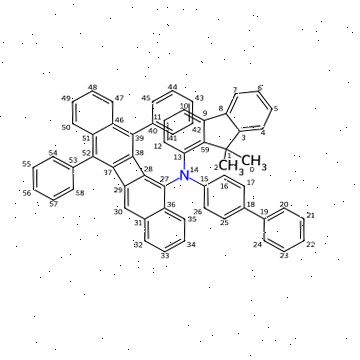 CC1(C)c2ccccc2-c2cccc(N(c3ccc(-c4ccccc4)cc3)c3c4c(cc5ccccc35)-c3c-4c(-c4ccccc4)c4ccccc4c3-c3ccccc3)c21